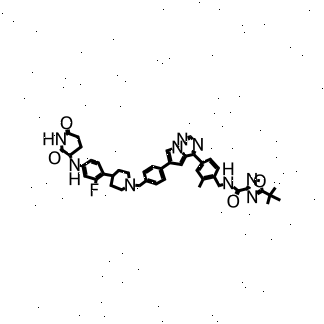 Cc1cc(-c2ncnn3cc(-c4ccc(CN5CCC(c6ccc(NC7CCC(=O)NC7=O)cc6F)CC5)cc4)cc23)ccc1CNC(=O)c1noc(C(C)(C)C)n1